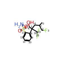 CC(CF)CC(CO)(c1ccccc1S(N)(=O)=O)C(F)F